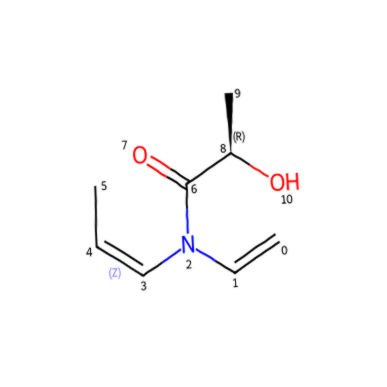 C=CN(/C=C\C)C(=O)[C@@H](C)O